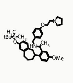 COc1ccc(C2CCCc3cc(O[Si](C)(C)C(C)(C)C)ccc3C2)c(C(C)NCc2ccc(OCCN3CCCC3)cc2)c1